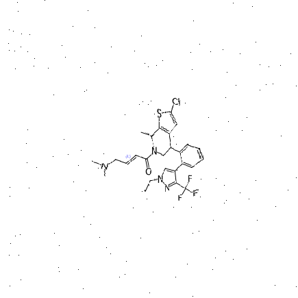 CCn1cc(-c2ccccc2C2CN(C(=O)/C=C/CN(C)C)C(C)c3sc(Cl)cc32)c(C(F)(F)F)n1